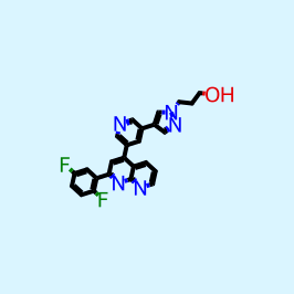 OCCCn1cc(-c2cncc(-c3cc(-c4cc(F)ccc4F)nc4ncccc34)c2)cn1